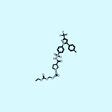 CCOC(=O)OCOn1on1N1CCC(C(=O)NS(=O)(=O)c2ccc(-n3nc(C(F)(F)F)cc3-c3ccc(C)cc3)cc2)C1